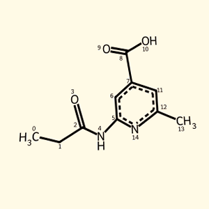 CCC(=O)Nc1cc(C(=O)O)cc(C)n1